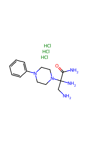 Cl.Cl.Cl.NCC(N)(C(N)=O)N1CCN(c2ccccc2)CC1